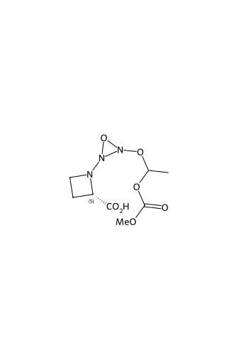 COC(=O)OC(C)On1on1N1CC[C@H]1C(=O)O